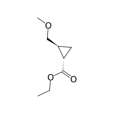 CCOC(=O)[C@H]1C[C@@H]1COC